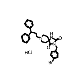 Cl.O=C1NC2(CCN(CCC(c3ccccc3)c3ccccc3)CC2)C(=O)N1Cc1ccc(Br)cc1